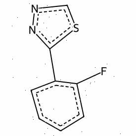 Fc1ccccc1-c1nncs1